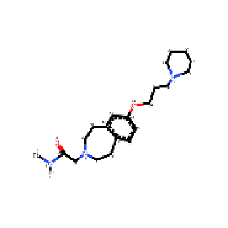 CCN(CC)C(=O)CN1CCc2ccc(OCCCN3CCCCC3)cc2CC1